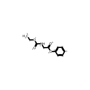 CCOC(=O)NCC(=O)Oc1ccccc1